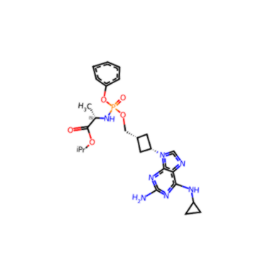 CC(C)OC(=O)[C@H](C)NP(=O)(OC[C@H]1C[C@@H](n2cnc3c(NC4CC4)nc(N)nc32)C1)Oc1ccccc1